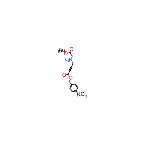 CCC(C)OC(=O)CNCC#CC(=O)OCc1ccc([N+](=O)[O-])cc1